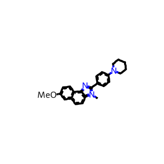 COc1ccc2c(ccc3c2nc(-c2ccc(N4CCCCC4)cc2)n3C)c1